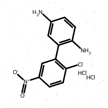 Cl.Cl.Nc1ccc(N)c(-c2cc([N+](=O)[O-])ccc2Cl)c1